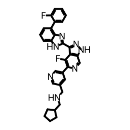 Fc1ccccc1-c1cccc2[nH]c(-c3n[nH]c4cnc(-c5cncc(CNCC6CCCC6)c5)c(F)c34)nc12